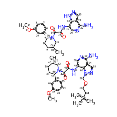 COc1cccc([C@H]2CC[C@H](C)CN2C(=O)C(=O)Nc2cnc(N)c3cn[nH]c23)c1.COc1cccc([C@H]2CC[C@H](C)CN2C(=O)C(=O)Nc2cnc(N)c3cnn(COCC[Si](C)(C)C)c23)c1